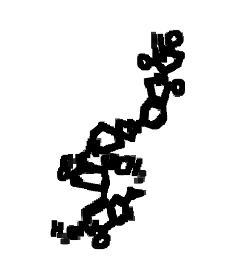 COc1cc(-c2cn(C)c(=O)c3cnc(C4CC4)cc23)cc(OC)c1CN1CCC2(CC1)CN(c1ccc3c(c1)CN(C1CCC(=O)NC1=O)C3=O)C2